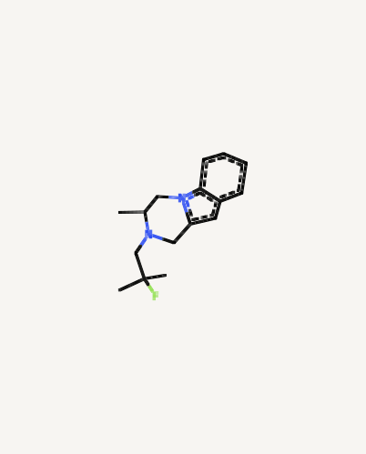 CC1Cn2c(cc3ccccc32)CN1CC(C)(C)F